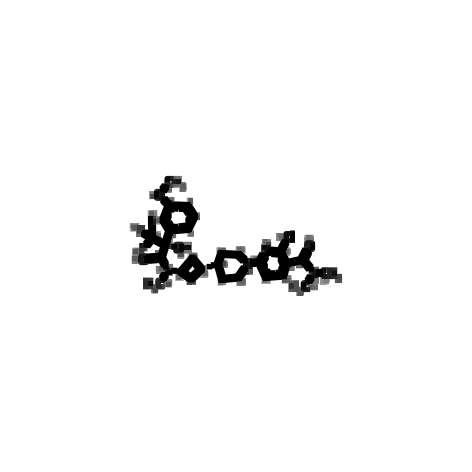 COc1cccc([C@@](O)(C(=O)N(C)[C@H]2C[C@@H](C3CCN(c4ccc(C(=O)N(C)C)c(Cl)n4)CC3)C2)C(F)(F)F)c1